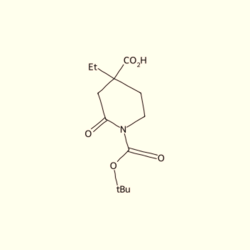 CCC1(C(=O)O)CCN(C(=O)OC(C)(C)C)C(=O)C1